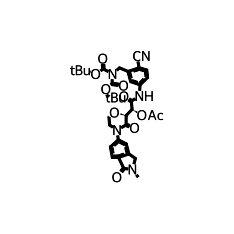 CC(=O)O[C@@H](C(=O)Nc1ccc(C#N)c(CN(C(=O)OC(C)(C)C)C(=O)OC(C)(C)C)c1)[C@H]1OCCN(c2ccc3c(c2)CN(C)C3=O)C1=O